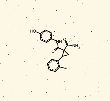 NC(=O)C1(C(=O)Nc2ccc(O)cc2)CC1c1ccccc1F